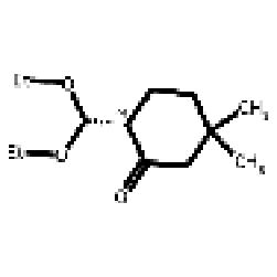 CCOC(OCC)[C@@H]1CCC(C)(C)CC1=O